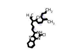 C=C\C=C/C(/C=C\C(=C)C(C=C)C/C=C/C1NC(Cl)=NC2=C1SC1CCC=CC21)=C/C